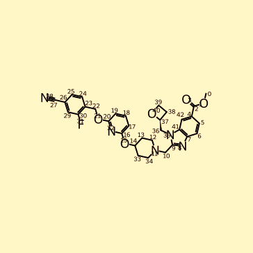 COC(=O)c1ccc2nc(CN3CCC(Oc4cccc(OCc5ccc(C#N)cc5F)n4)CC3)n(C[C@@H]3CCO3)c2c1